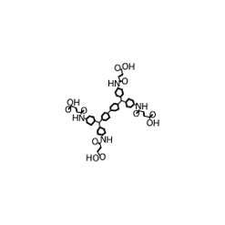 O=C(O)/C=C/C(=O)Nc1ccc(C(c2ccc(NC(=O)/C=C/C(=O)O)cc2)c2ccc(-c3ccc(C(c4ccc(NC(=O)/C=C/C(=O)O)cc4)c4ccc(NC(=O)/C=C/C(=O)O)cc4)cc3)cc2)cc1